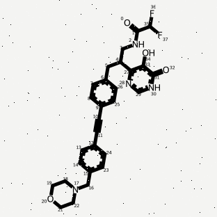 O=C(NCC(Cc1ccc(C#Cc2ccc(CN3CCOCC3)cc2)cc1)c1nc[nH]c(=O)c1O)C(F)F